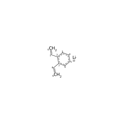 C=Cc1ccccc1C=C.[Li]